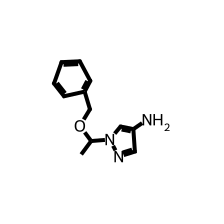 CC(OCc1ccccc1)n1cc(N)cn1